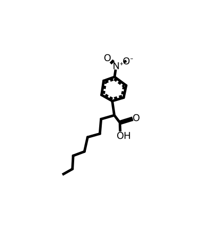 CCCCCCCC(C(=O)O)c1ccc([N+](=O)[O-])cc1